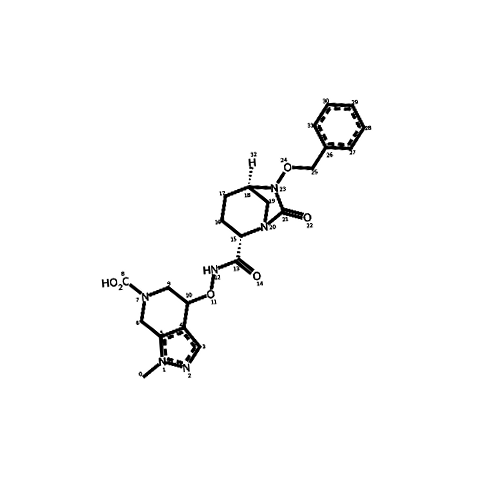 Cn1ncc2c1CN(C(=O)O)CC2ONC(=O)[C@@H]1CC[C@@H]2CN1C(=O)N2OCc1ccccc1